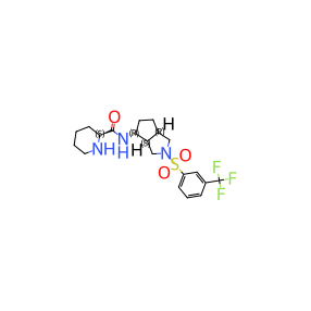 O=C(N[C@@H]1CC[C@H]2CN(S(=O)(=O)c3cccc(C(F)(F)F)c3)C[C@H]21)[C@@H]1CCCCN1